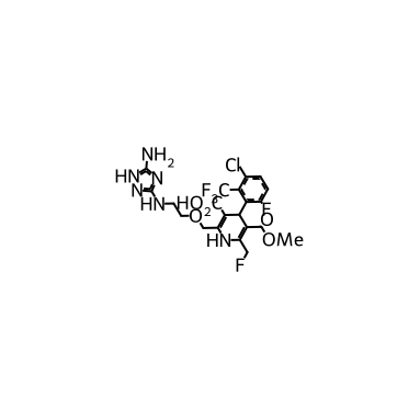 COC(=O)C1=C(CF)NC(COCCNc2n[nH]c(N)n2)=C(C(=O)O)C1c1c(F)ccc(Cl)c1C(F)(F)F